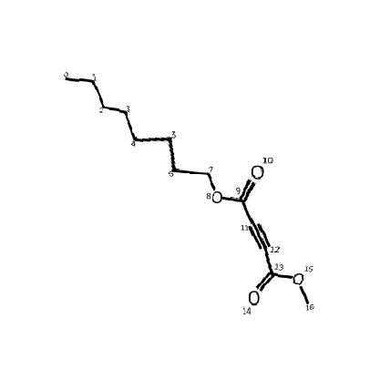 CCCCCCCCOC(=O)C#CC(=O)OC